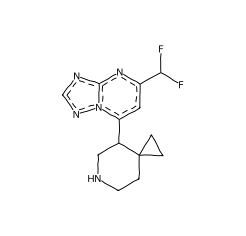 FC(F)c1cc(C2CNCCC23CC3)n2ncnc2n1